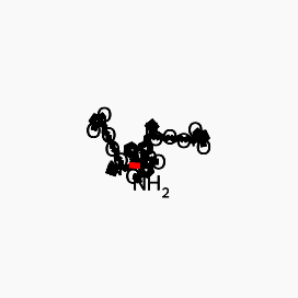 NC(=O)c1ccc2c(c1)C1(OC2=O)c2ccc(CC(OCCOCCOCCN3C(=O)C=CC3=O)N3CCC3)cc2[Si]2(CCCCC2)c2cc(CC(OCCOCCOCCN3C(=O)C=CC3=O)N3CCC3)ccc21